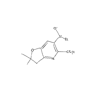 CC[S+]([O-])c1cc2c(nc1C(=O)O)CC(C)(C)O2